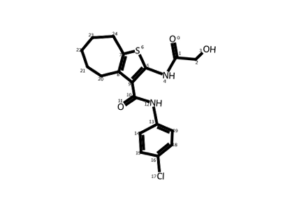 O=C(CO)Nc1sc2c(c1C(=O)Nc1ccc(Cl)cc1)CCCCC2